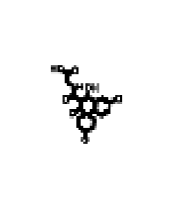 O=C(O)CNC(=O)C1=C(O)c2cc(Cl)ccc2C2(CCC(=O)CC2)C1=O